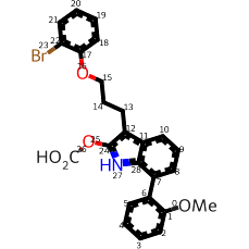 COc1ccccc1-c1cccc2c(CCCOc3ccccc3Br)c(OC(=O)O)[nH]c12